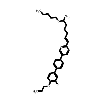 C=CCOc1ccc(-c2ccc(-c3cnc(/C=C/CCCC(C)OCCCCC)nc3)cc2)cc1F